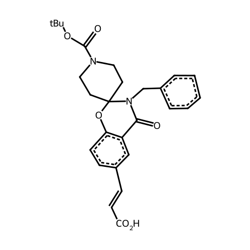 CC(C)(C)OC(=O)N1CCC2(CC1)Oc1ccc(C=CC(=O)O)cc1C(=O)N2Cc1ccccc1